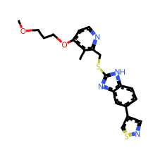 COCCCOc1ccnc(CSc2nc3cc(-c4cnsc4)ccc3[nH]2)c1C